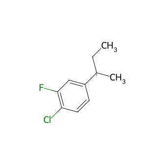 CC[C](C)c1ccc(Cl)c(F)c1